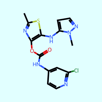 Cc1nc(OC(=O)Nc2ccnc(Cl)c2)c(Nc2ccnn2C)s1